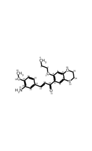 CCCOc1cc2c(cc1C(=O)C=Cc1ccc(OC)c(N)c1)SCCO2